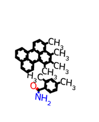 Cc1c(C)c2c(C)ccc3c4cccc5cccc(c(c1C)c23)c54.Cc1ccc(C(N)=O)c(C)c1